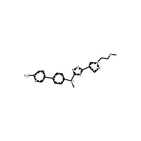 COCCn1cc(-c2nc([C@@H](C)c3ccc(-c4ccc(N)nc4)cc3)no2)cn1